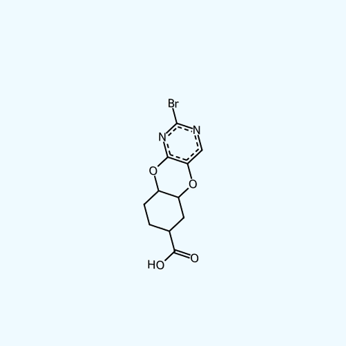 O=C(O)C1CCC2Oc3nc(Br)ncc3OC2C1